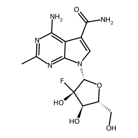 Cc1nc(N)c2c(C(N)=O)cn([C@@H]3O[C@H](CO)[C@@H](O)[C@]3(O)F)c2n1